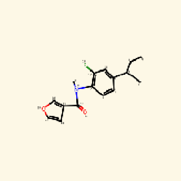 CCC(C)c1ccc(N(C)C(=O)c2ccoc2)c(F)c1